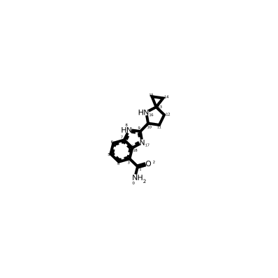 NC(=O)c1cccc2[nH]c(C3CCC4(CC4)N3)nc12